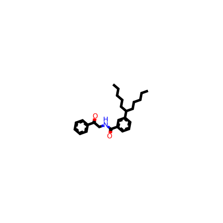 CCCCCC(CCCCC)c1cccc(C(=O)NCC(=O)c2ccccc2)c1